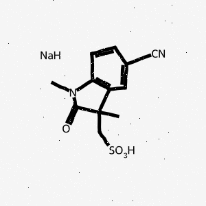 CN1C(=O)C(C)(CS(=O)(=O)O)c2cc(C#N)ccc21.[NaH]